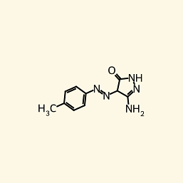 Cc1ccc(/N=N/C2C(=O)NN=C2N)cc1